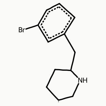 Brc1cccc(CC2CC[CH]CN2)c1